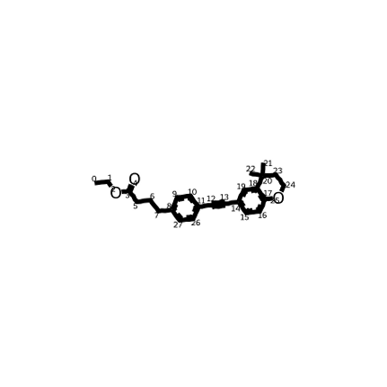 CCOC(=O)CCCc1ccc(C#Cc2ccc3c(c2)C(C)(C)CCO3)cc1